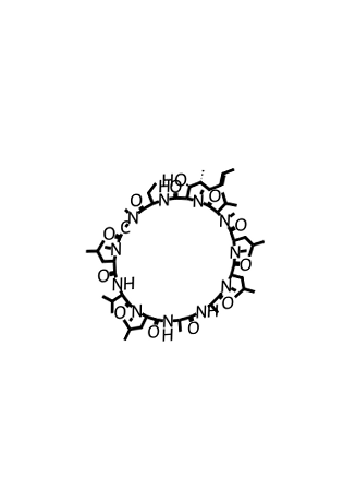 C/C=C/C[C@@H](C)[C@@H](O)C1C(=O)NC(CC)C(=O)N(C)CC(=O)N(C)C(CC(C)C)C(=O)NC(C(C)C)C(=O)N(C)C(CC(C)C)C(=O)NC(C)C(=O)NC(C)C(=O)N(C)C(CC(C)C)C(=O)N(C)C(CC(C)C)C(=O)N(C)C(C(C)C)C(=O)N1C